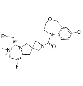 C=C(F)/C=[N+](C)\C(=C/CC)N1CCC2(CN(C(=O)N3CCOCc4cc(Cl)ccc43)C2)C1